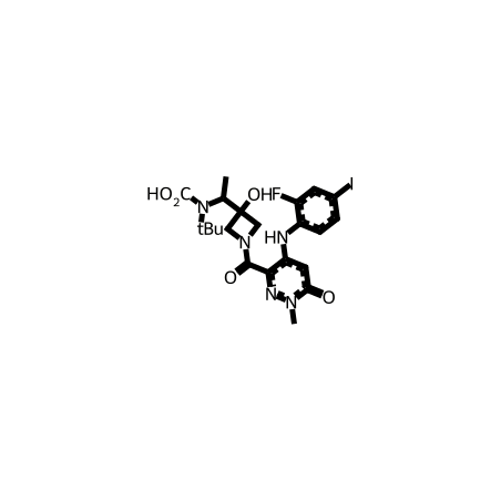 CC(N(C(=O)O)C(C)(C)C)C1(O)CN(C(=O)c2nn(C)c(=O)cc2Nc2ccc(I)cc2F)C1